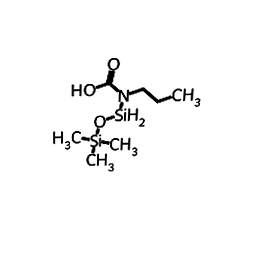 CCCN([SiH2]O[Si](C)(C)C)C(=O)O